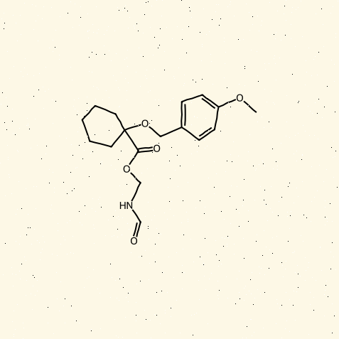 COc1ccc(COC2(C(=O)OCNC=O)CCCCC2)cc1